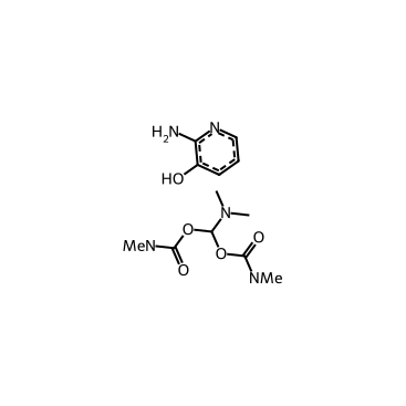 CNC(=O)OC(OC(=O)NC)N(C)C.Nc1ncccc1O